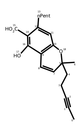 CC#CCCC1(C)C=Cc2c(cc(CCCCC)c(C(=O)O)c2O)O1